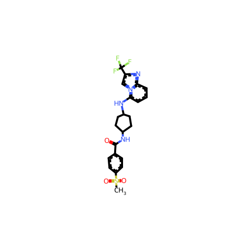 CS(=O)(=O)c1ccc(C(=O)NC2CCC(Nc3cccc4nc(C(F)(F)F)cn34)CC2)cc1